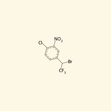 O=[N+]([O-])c1cc(C(Br)C(F)(F)F)ccc1Cl